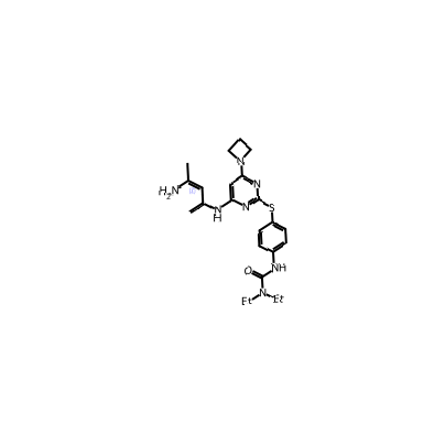 C=C(/C=C(/C)N)Nc1cc(N2CCC2)nc(Sc2ccc(NC(=O)N(CC)CC)cc2)n1